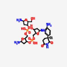 CCC1(c2ccc(N)cc2)CCC(=O)NC1=O.NC1CC(O)C(COP(=O)(O)OC2CC(N)OC2COP(=O)(O)OC2CC(N)OC2CO)O1